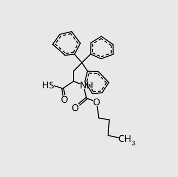 CCCCOC(=O)NC(CC(c1ccccc1)(c1ccccc1)c1ccccc1)C(=O)S